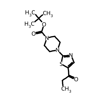 CCC(=O)c1cnc(N2CCN(C(=O)OC(C)(C)C)CC2)s1